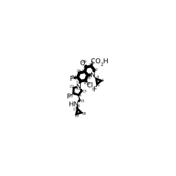 O=C(O)c1cn([C@@H]2C[C@@H]2F)c2c(Cl)c(N3C[C@@H](CNC4CC4)[C@H](F)C3)c(F)cc2c1=O